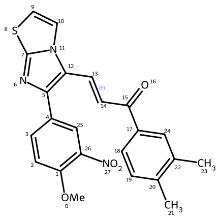 COc1ccc(-c2nc3sccn3c2/C=C/C(=O)c2ccc(C)c(C)c2)cc1[N+](=O)[O-]